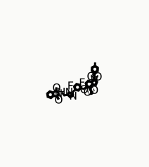 Cc1ccc(S(=O)(=O)n2ccc3c(S(C)(=O)=O)c(Oc4ccc(F)c(-c5ncc(CCN6C(=O)c7ccccc7C6=O)[nH]5)c4)c(F)cc32)cc1